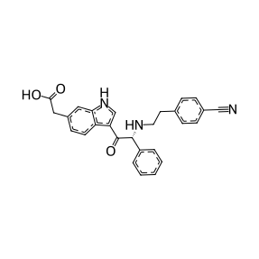 N#Cc1ccc(CCN[C@@H](C(=O)c2c[nH]c3cc(CC(=O)O)ccc23)c2ccccc2)cc1